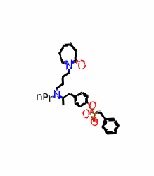 CCCN(CCCCN1CCCCCC1=O)C(C)Cc1ccc(OS(=O)(=O)Cc2ccccc2)cc1